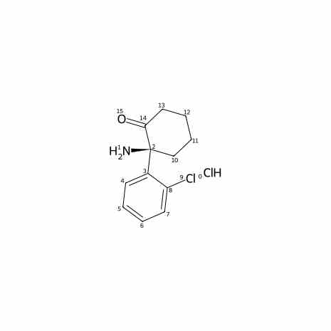 Cl.N[C@]1(c2ccccc2Cl)CCCCC1=O